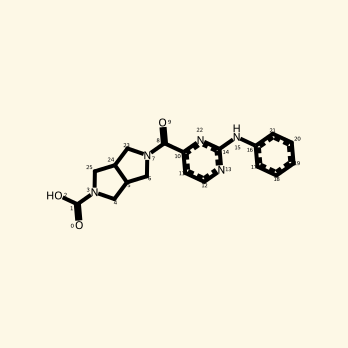 O=C(O)N1CC2CN(C(=O)c3ccnc(Nc4ccccc4)n3)CC2C1